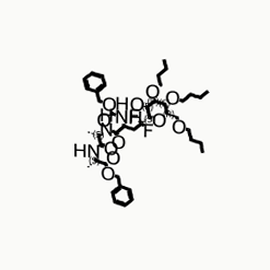 CCCCOC[C@H]1O[C@H](C(F)(F)CC(NC(=O)OCc2ccccc2)C(=O)N[C@@H](C)C(=O)N[C@@H](C)C(=O)OCc2ccccc2)[C@H](O)[C@@H](OCCCC)[C@H]1OCCCC